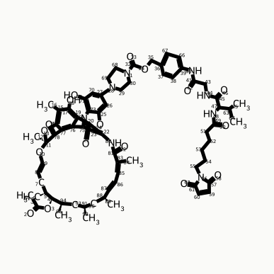 CC(=O)O[C@@H]1[C@H](C)C/C=C/O[C@@]2(C)Oc3c(C)c(O)c4c(=O)c(c5oc6cc(N7CCN(C(=O)OCc8ccc(NC(=O)CNC(=O)C(NC(=O)CCCCCN9C(=O)C=CC9=O)C(C)C)cc8)CC7)cc(O)c6nc-5c4c3C2=O)NC(=O)/C(C)=C\C=C\[C@H](C)C[C@@H](C)C[C@H]1C